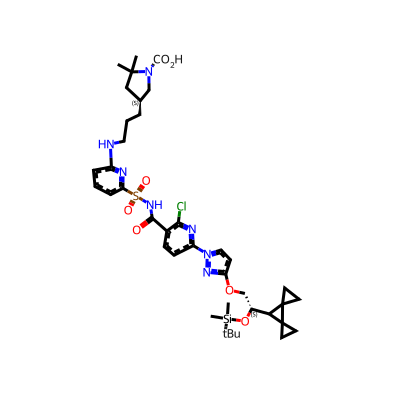 CC1(C)C[C@H](CCCNc2cccc(S(=O)(=O)NC(=O)c3ccc(-n4ccc(OC[C@@H](O[Si](C)(C)C(C)(C)C)C5C6(CC6)C56CC6)n4)nc3Cl)n2)CN1C(=O)O